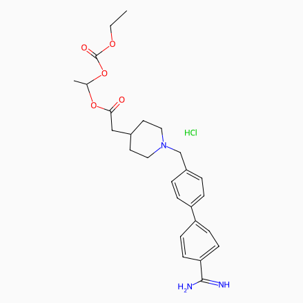 CCOC(=O)OC(C)OC(=O)CC1CCN(Cc2ccc(-c3ccc(C(=N)N)cc3)cc2)CC1.Cl